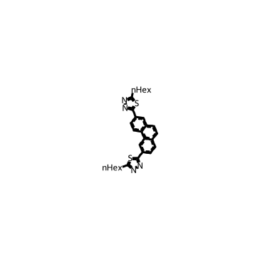 CCCCCCc1nnc(-c2ccc3c(ccc4ccc(-c5nnc(CCCCCC)s5)cc43)c2)s1